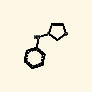 C1=CN(Nc2ccccc2)CO1